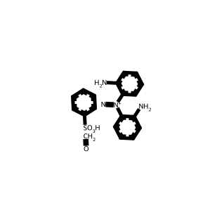 C=O.O=S(=O)(O)c1ccccc1.[N-]=[N+](c1ccccc1N)c1ccccc1N